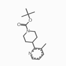 Cc1cccnc1C1CCN(C(=O)OC(C)(C)C)CC1